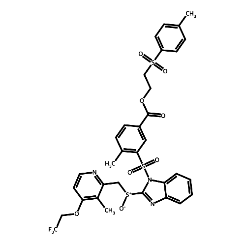 Cc1ccc(S(=O)(=O)CCOC(=O)c2ccc(C)c(S(=O)(=O)n3c([S+]([O-])Cc4nccc(OCC(F)(F)F)c4C)nc4ccccc43)c2)cc1